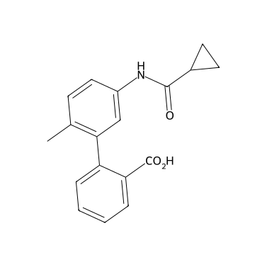 Cc1ccc(NC(=O)C2CC2)cc1-c1ccccc1C(=O)O